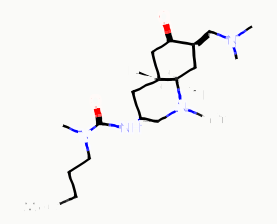 CCCN1C[C@@H](NC(=O)N(C)CCCOC)C[C@@H]2CC(=O)C(=CN(C)C)C[C@H]21